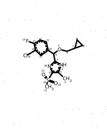 Cc1[nH]c(C(OCC2CC2)c2ccc(F)c(Cl)c2)nc1S(C)(=O)=O